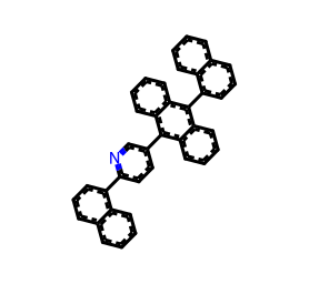 c1ccc2c(-c3ccc(-c4c5ccccc5c(-c5cccc6ccccc56)c5ccccc45)cn3)cccc2c1